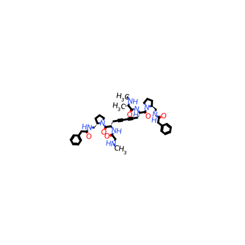 CNCC(=O)N[C@@H](CC#CC#CC[C@H](NC(=O)[C@H](C)NC)C(=O)N1CCC[C@H]1CNC(=O)Cc1ccccc1)C(=O)N1CCC[C@H]1CNC(=O)Cc1ccccc1